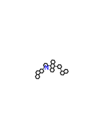 c1cc(-c2cccc3ccccc23)cc(-c2c3ccccc3c(-c3cccc(-c4ccc5c(ccc6ccccc65)c4)n3)c3ccccc23)c1